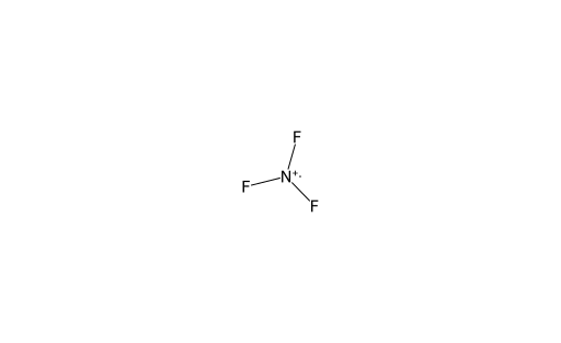 F[N+](F)F